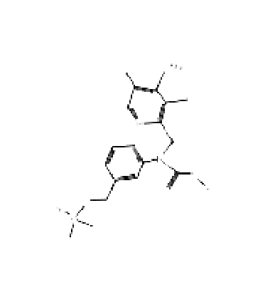 COc1c(C)cnc(CN(C(=O)OC(C)(C)C)c2cccc(CO[Si](C)(C)C(C)(C)C)c2)c1C